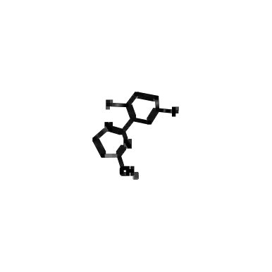 Cc1ccnc(-c2cc(F)ccc2F)n1